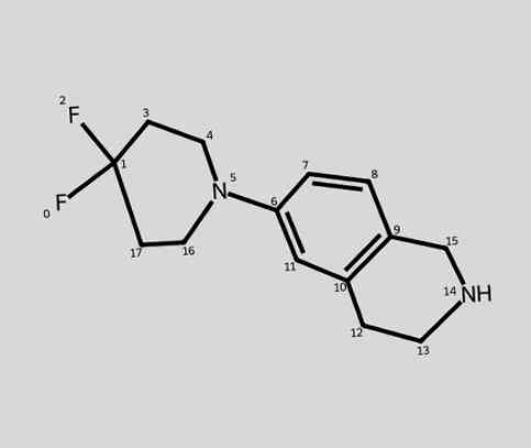 FC1(F)CCN(c2ccc3c(c2)CCNC3)CC1